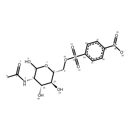 CC(=O)N[C@@H]1C(O)O[C@H](COS(=O)(=O)c2ccc([N+](=O)[O-])cc2)[C@@H](O)[C@@H]1O